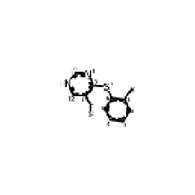 Cc1ccccc1Sc1n[c]ncc1F